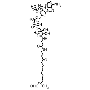 C[C@@H](CC=O)CCCCCCCCC(=O)SCCNC(=O)CCNC(=O)C(O)C(C)(C)COP(=O)(O)OP(=O)(O)OC[C@H]1O[C@@H](n2cnc3c(N)ncnc32)[C@H](O)[C@@H]1OP(=O)(O)O